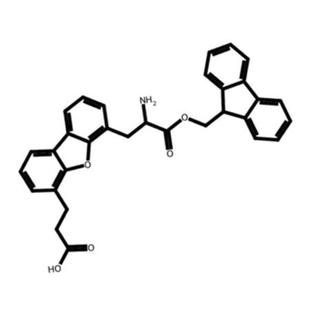 NC(Cc1cccc2c1oc1c(CCC(=O)O)cccc12)C(=O)OCC1c2ccccc2-c2ccccc21